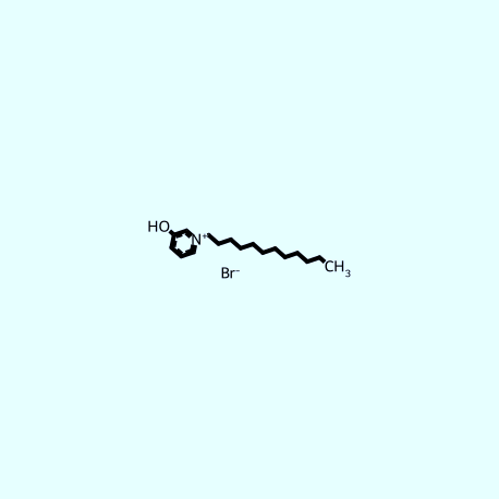 CCCCCCCCCCCC[n+]1cccc(O)c1.[Br-]